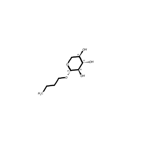 CCCCO[C@@H]1OC[C@@H](O)[C@H](O)[C@H]1O